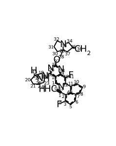 C#Cc1c(F)ccc2cccc(-c3ncc4c(N5C[C@H]6CC[C@@H](C5)N6)nc(OCC56CCCN5CC(=C)C6)nc4c3F)c12